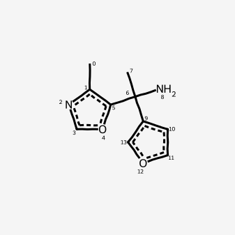 Cc1ncoc1C(C)(N)c1ccoc1